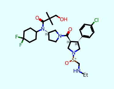 CCNC[S+]([O-])N1C[C@@H](C(=O)N2CC[C@H](N(C(=O)C(C)(C)CO)C3CCC(F)(F)CC3)C2)[C@H](c2ccc(Cl)cc2)C1